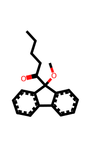 CCCCC(=O)C1(OC)c2ccccc2-c2ccccc21